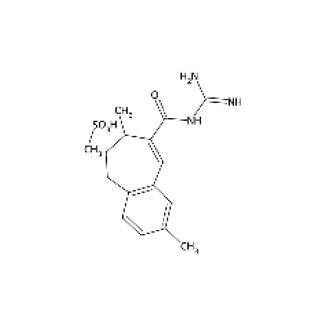 CS(=O)(=O)O.Cc1ccc2c(c1)C=C(C(=O)NC(=N)N)C(C)CC2